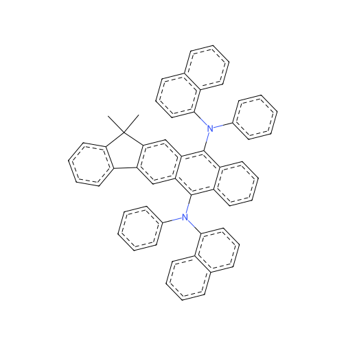 CC1(C)c2ccccc2-c2cc3c(N(c4ccccc4)c4cccc5ccccc45)c4ccccc4c(N(c4ccccc4)c4cccc5ccccc45)c3cc21